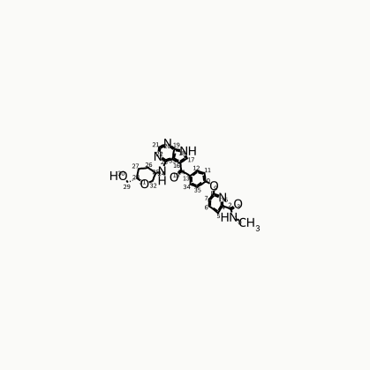 CNC(=O)c1cccc(Oc2ccc(C(=O)c3c[nH]c4ncnc(N[C@@H]5CC[C@@H](CO)OC5)c34)cc2)n1